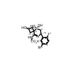 C[C@@]1(c2cc(Br)ccc2F)CS(O)(O)C2(CC(O)C2)C(NC(=O)O)=N1